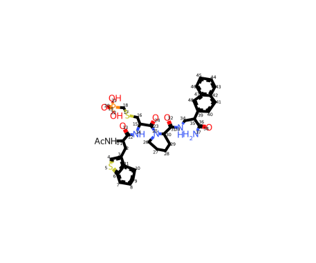 CC(=O)NC(Cc1csc2ccccc12)C(=O)NC(CSCP(=O)(O)O)C(=O)N1CCCCC1C(=O)NCC(C(N)=O)c1ccc2ccccc2c1